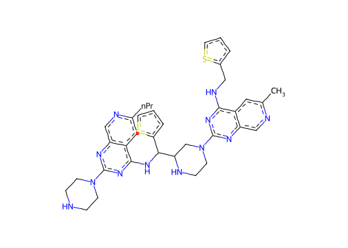 CCCc1cc2c(NC(c3cccs3)C3CN(c4nc(NCc5cccs5)c5cc(C)ncc5n4)CCN3)nc(N3CCNCC3)nc2cn1